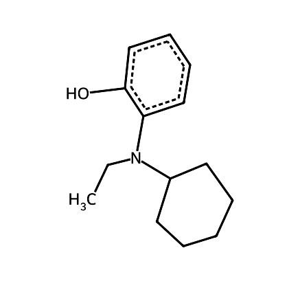 CCN(c1ccccc1O)C1CCCCC1